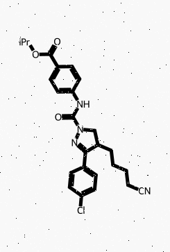 CC(C)OC(=O)c1ccc(NC(=O)N2CC(CCCCC#N)C(c3ccc(Cl)cc3)=N2)cc1